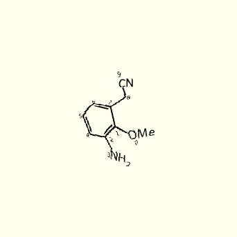 COc1c(N)cccc1CC#N